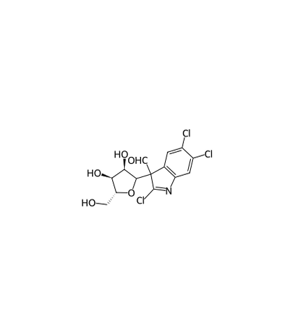 O=CC1(C2O[C@H](CO)[C@@H](O)[C@H]2O)C(Cl)=Nc2cc(Cl)c(Cl)cc21